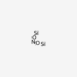 [N].[O].[O].[Si].[Si]